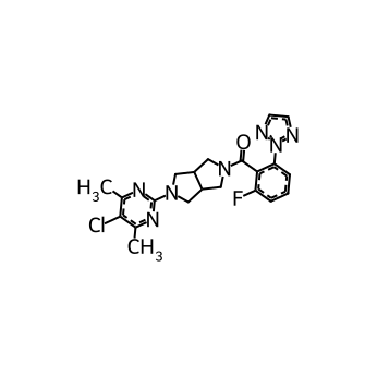 Cc1nc(N2CC3CN(C(=O)c4c(F)cccc4-n4nccn4)CC3C2)nc(C)c1Cl